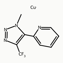 Cn1nnc(C(F)(F)F)c1-c1ccccn1.[Cu]